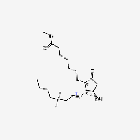 CCCCC(C)(C)C/C=C/[C@H]1[C@H](O)CC(=O)[C@@H]1CCCCCCC(=O)OC